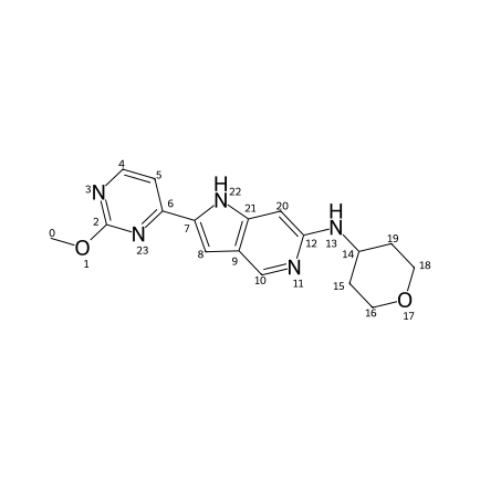 COc1nccc(-c2cc3cnc(NC4CCOCC4)cc3[nH]2)n1